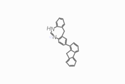 C1=N\c2ccc(-c3cccc4c3Cc3ccccc3-4)cc2Cc2ccccc2N/1